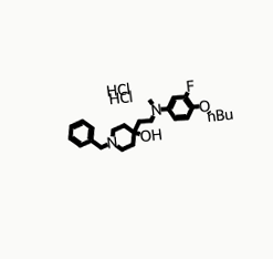 CCCCOc1ccc(N(C)CCC2(O)CCN(Cc3ccccc3)CC2)cc1F.Cl.Cl